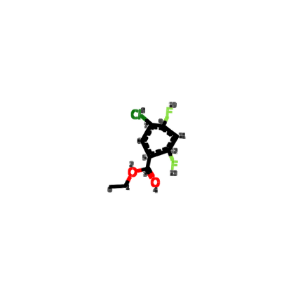 CCOC(=O)c1cc(Cl)c(F)cc1F